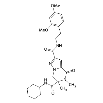 COc1ccc(CCNC(=O)c2cc3n(n2)CC(C)(C(=O)NC2CCCCC2)N(C)C3=O)c(OC)c1